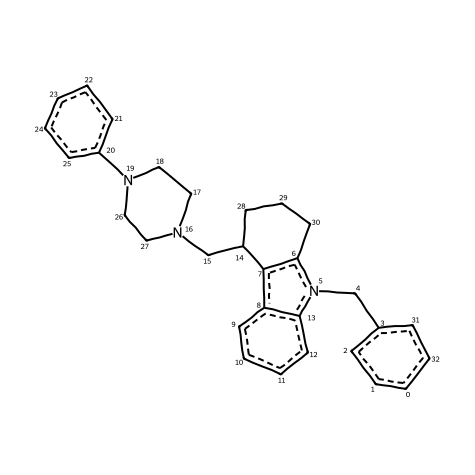 c1ccc(Cn2c3c(c4ccccc42)C(CN2CCN(c4ccccc4)CC2)CCC3)cc1